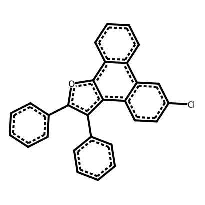 Clc1ccc2c(c1)c1ccccc1c1oc(-c3ccccc3)c(-c3ccccc3)c21